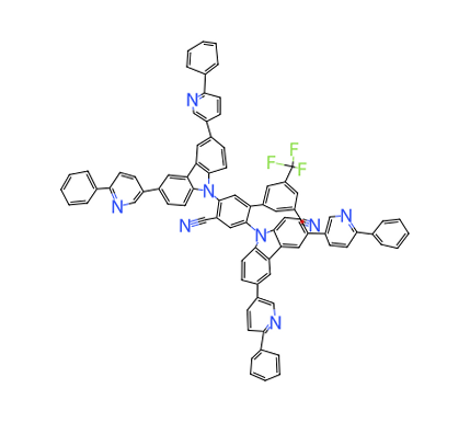 N#Cc1cc(-c2cc(-n3c4ccc(-c5ccc(-c6ccccc6)nc5)cc4c4cc(-c5ccc(-c6ccccc6)nc5)ccc43)c(C#N)cc2-n2c3ccc(-c4ccc(-c5ccccc5)nc4)cc3c3cc(-c4ccc(-c5ccccc5)nc4)ccc32)cc(C(F)(F)F)c1